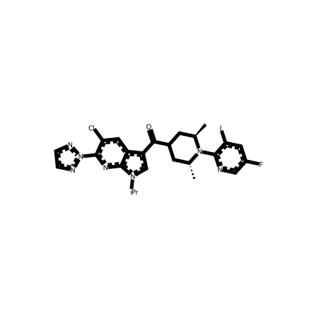 CC(C)n1cc(C(=O)C2C[C@@H](C)N(c3ncc(F)cc3I)[C@H](C)C2)c2cc(Cl)c(-n3nccn3)nc21